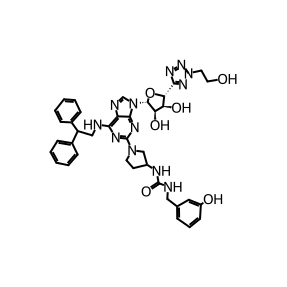 O=C(NCc1cccc(O)c1)NC1CCN(c2nc(NCC(c3ccccc3)c3ccccc3)c3ncn([C@@H]4O[C@H](c5nnn(CCO)n5)[C@@H](O)[C@H]4O)c3n2)C1